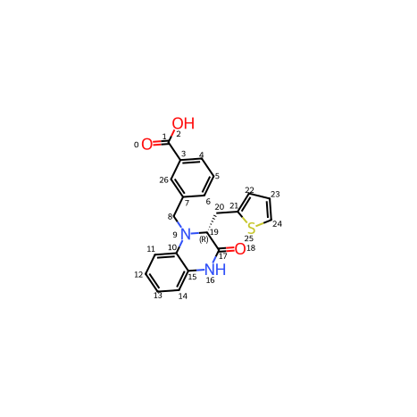 O=C(O)c1cccc(CN2c3ccccc3NC(=O)[C@H]2Cc2cccs2)c1